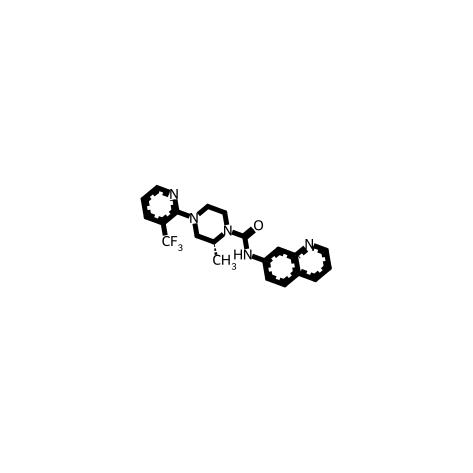 C[C@@H]1CN(c2ncccc2C(F)(F)F)CCN1C(=O)Nc1ccc2cccnc2c1